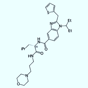 CCC(CC)n1c(Cc2cccs2)nc2cc(C(=O)N[C@@H](CC(C)C)C(=O)NCCCN3CCOCC3)ccc21